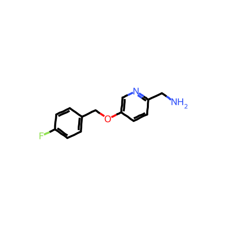 NCc1ccc(OCc2ccc(F)cc2)cn1